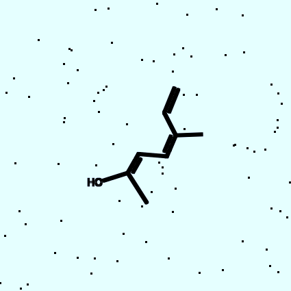 C=C/C(C)=C\C=C(/C)O